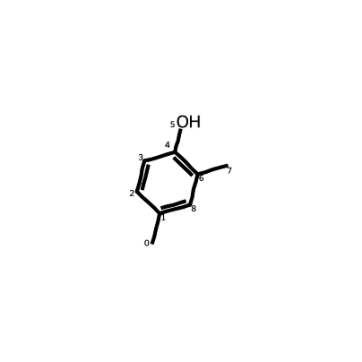 Cc1c[c]c(O)c(C)c1